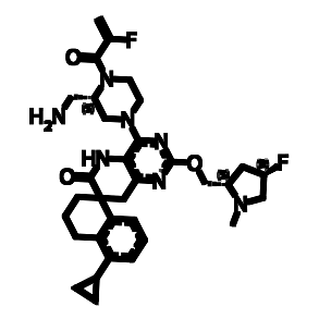 C=C(F)C(=O)N1CCN(c2nc(OC[C@@H]3C[C@@H](F)CN3C)nc3c2NC(=O)C2(CCCc4c(C5CC5)cccc42)C3)C[C@@H]1CN